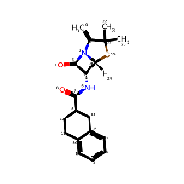 C=C1N2C(=O)[C@@H](NC(=O)C3CCc4ccccc4C3)[C@H]2SC1(C)C